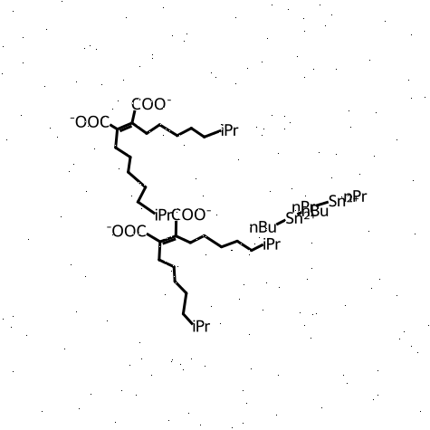 CC(C)CCCCCC(C(=O)[O-])=C(CCCCCC(C)C)C(=O)[O-].CC(C)CCCCCC(C(=O)[O-])=C(CCCCCC(C)C)C(=O)[O-].CCC[CH2][Sn+2][CH2]CCC.CC[CH2][Sn+2][CH2]CC